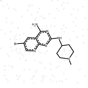 CN1CCC(Nc2nc(N)c3cc(Br)cnc3n2)CC1